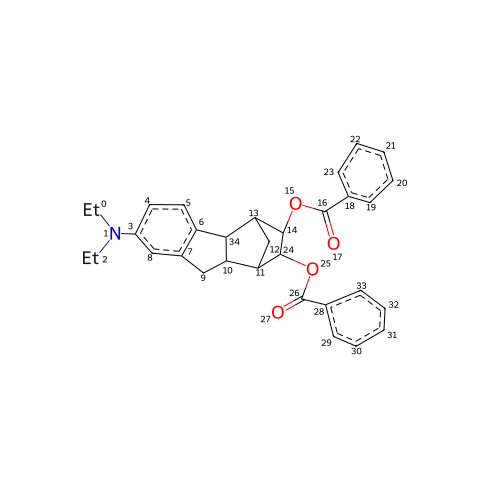 CCN(CC)c1ccc2c(c1)CC1C3CC(C(OC(=O)c4ccccc4)C3OC(=O)c3ccccc3)C21